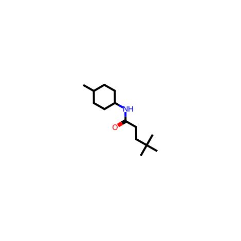 CC1CCC(NC(=O)CCC(C)(C)C)CC1